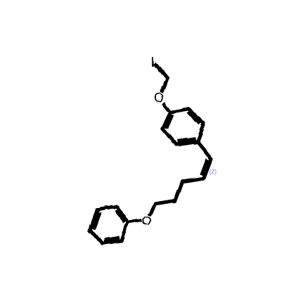 ICOc1ccc(/C=C\CCCOc2ccccc2)cc1